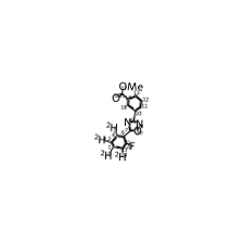 [2H]c1c([2H])c([2H])c(-c2nc(-c3cccc(C(=O)OC)c3)no2)c(F)c1[2H]